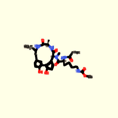 CCCCCCCC(=O)N[C@@H](CCCCNC(=O)OC(C)(C)C)C(=O)N(C)[C@@H]1C(=O)N[C@@H](C)C(=O)NC(C(=O)O)Cc2ccc(O)c(c2)-c2cc1ccc2O